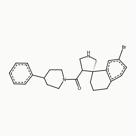 O=C(C1CNC[C@]12CCCc1ccc(Br)cc12)N1CCC(c2ccccc2)CC1